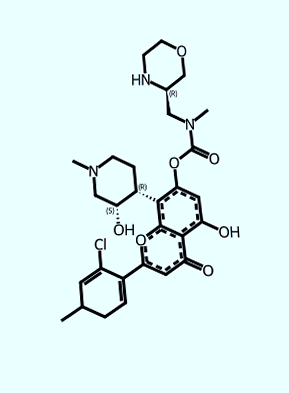 CC1C=C(Cl)C(c2cc(=O)c3c(O)cc(OC(=O)N(C)C[C@@H]4COCCN4)c([C@H]4CCN(C)C[C@H]4O)c3o2)=CC1